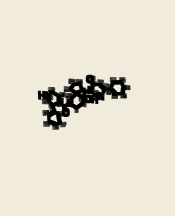 O=C(N1CCC(O)(Cn2cnc(-c3ccccc3)cc2=O)C2(CCCC2)C1)N1CCNCC1c1ccccc1